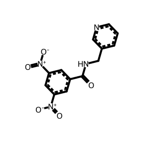 O=C(NCc1cccnc1)c1cc([N+](=O)[O-])cc([N+](=O)[O-])c1